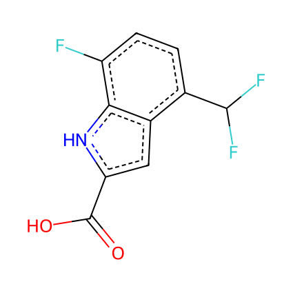 O=C(O)c1cc2c(C(F)F)ccc(F)c2[nH]1